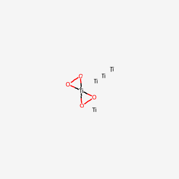 [O]1[O][Ti]12[O][O]2.[Ti].[Ti].[Ti].[Ti]